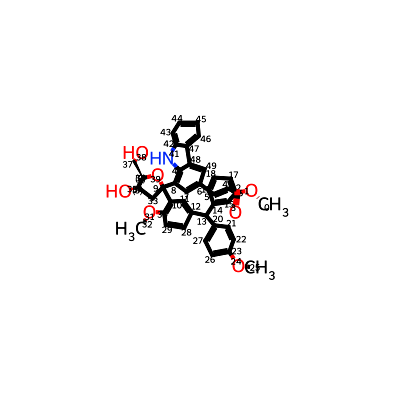 COC(=O)C=Cc1cc(C2(c3cc(C(c4ccccc4)c4ccc(OC)cc4)ccc3OC)C[C@H](O)[C@@H](CO)O2)c2[nH]c3ccccc3c2c1